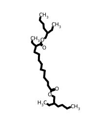 CCCCC(CC)COC(=O)CCCCCCCCCC(CC)C(=O)OCC(CC)CCCC